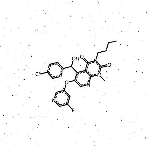 CCCCn1c(=O)c2c(C(O)c3ccc(Cl)cc3)c(Oc3cncc(F)c3)cnc2n(C)c1=O